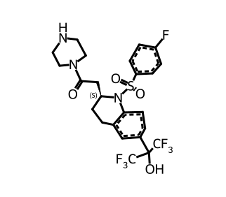 O=C(C[C@@H]1CCc2cc(C(O)(C(F)(F)F)C(F)(F)F)ccc2N1S(=O)(=O)c1ccc(F)cc1)N1CCNCC1